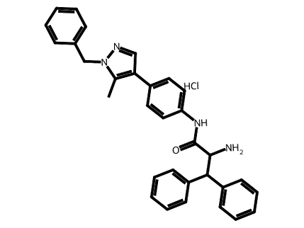 Cc1c(-c2ccc(NC(=O)C(N)C(c3ccccc3)c3ccccc3)cc2)cnn1Cc1ccccc1.Cl